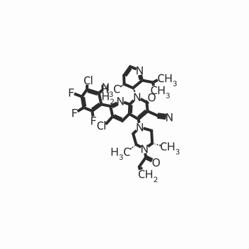 C=CC(=O)N1[C@H](C)CN(c2c(C#N)c(=O)n([C@H]3C(C(C)C)=NC=C[C@H]3C)c3nc(-c4c(N)c(Cl)c(F)c(F)c4F)c(Cl)cc23)C[C@@H]1C